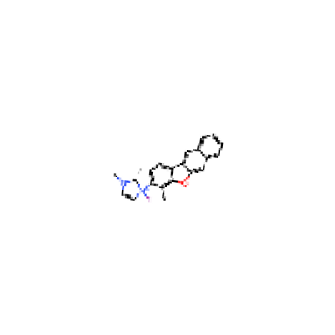 Cc1c([N+]2(I)C=CN(C)[C@@H]2C)ccc2c1oc1cc3ccccc3cc12